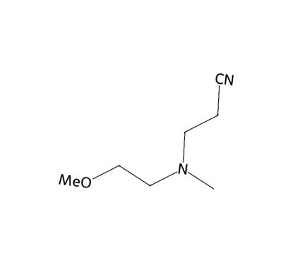 COCCN(C)CCC#N